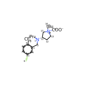 CC(C)N(Cc1cc(F)ccc1C(F)(F)F)[C@H]1CC[N+](C(=O)[O-])(C(C)(C)C)C1